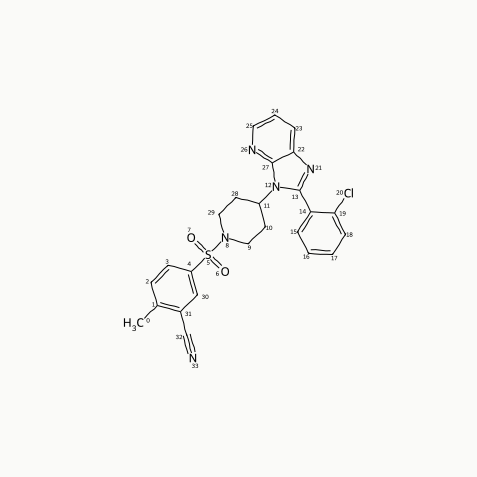 Cc1ccc(S(=O)(=O)N2CCC(n3c(-c4ccccc4Cl)nc4cccnc43)CC2)cc1C#N